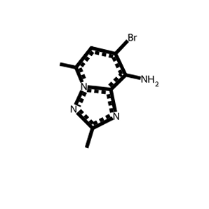 Cc1nc2c(N)c(Br)cc(C)n2n1